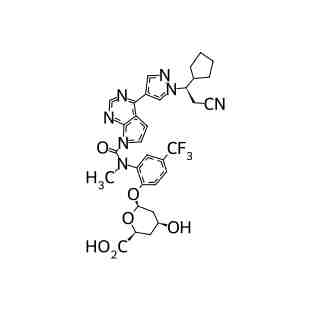 CN(C(=O)n1ccc2c(-c3cnn([C@H](CC#N)C4CCCC4)c3)ncnc21)c1cc(C(F)(F)F)ccc1O[C@H]1C[C@@H](O)C[C@@H](C(=O)O)O1